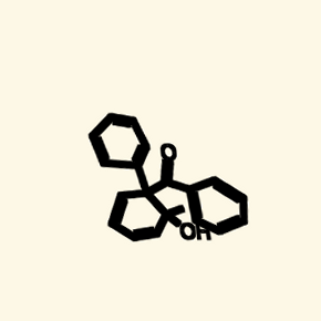 CC1(O)C=CC=CC1(C(=O)c1ccccc1)c1ccccc1